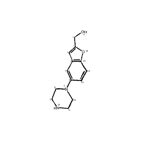 OCc1cc2cc(N3CCNCC3)ccc2o1